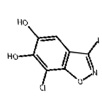 Oc1cc2c(I)noc2c(Cl)c1O